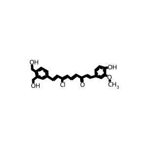 COc1cc(/C=C/C(=O)/C=C/C=C(Cl)/C=C/c2ccc(CO)c(CO)c2)ccc1O